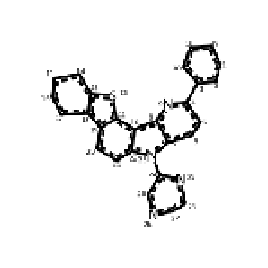 c1ccc(-c2ccc3c(n2)c2c4sc5ccccc5c4ccc2n3-c2cnccn2)cc1